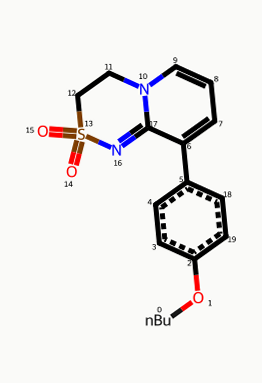 CCCCOc1ccc(C2=CC=CN3CCS(=O)(=O)N=C23)cc1